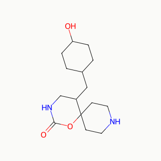 O=C1NCC(CC2CCC(O)CC2)C2(CCNCC2)O1